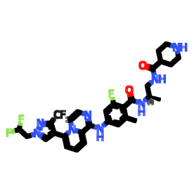 Cc1cc(NC2=NC=CN3C2=C=CC=C3c2cn(CC(F)F)nc2C(F)(F)F)cc(F)c1C(=O)N[C@H](C)CNC(=O)C1CCNCC1